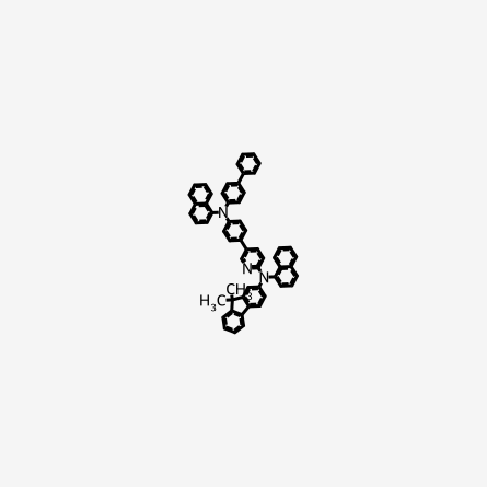 CC1(C)c2ccccc2-c2ccc(N(c3ccc(-c4ccc(N(c5ccc(-c6ccccc6)cc5)c5cccc6ccccc56)cc4)cn3)c3cccc4ccccc34)cc21